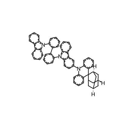 c1ccc(-n2c3ccccc3c3ccccc32)c(-c2ccccc2-n2c3ccccc3c3cc(N4c5ccccc5C5(c6ccccc64)C4C[C@H]6C[C@@H](C4)C[C@@H]5C6)ccc32)c1